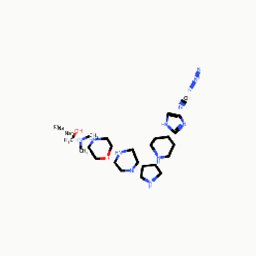 C#N.C1CCNC1.C1CCNCC1.C1CNCCN1.C1COCCN1.CNC.CO.[K+].[N-]=[N+]=[N-].[Na+].[Na+].c1c[nH]cn1